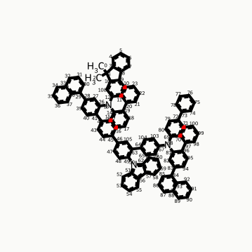 CC1(C)c2ccccc2-c2ccc(N(c3ccccc3-c3ccccc3)c3cc(-c4cccc5ccccc45)ccc3-c3ccc(-c4ccc(-n5c6ccccc6c6ccccc65)c(-c5ccc(N(c6ccc(-c7ccccc7)cc6)c6cc(-c7cccc8ccccc78)ccc6-c6ccccc6)cc5)c4)cc3)cc21